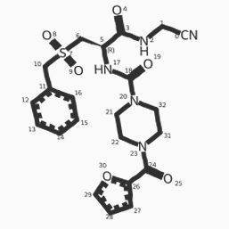 N#CCNC(=O)[C@H](CS(=O)(=O)Cc1ccccc1)NC(=O)N1CCN(C(=O)c2ccco2)CC1